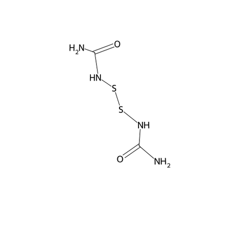 NC(=O)NSSNC(N)=O